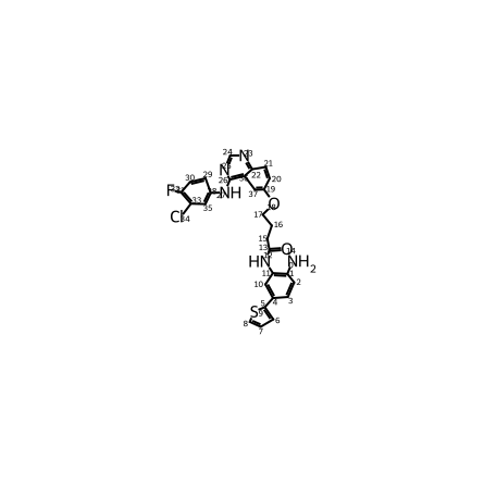 Nc1ccc(-c2cccs2)cc1NC(=O)CCCOc1ccc2ncnc(Nc3ccc(F)c(Cl)c3)c2c1